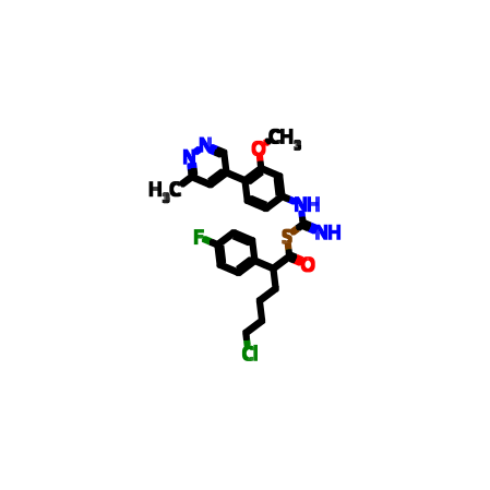 COc1cc(NC(=N)SC(=O)C(CCCCCl)c2ccc(F)cc2)ccc1-c1cnnc(C)c1